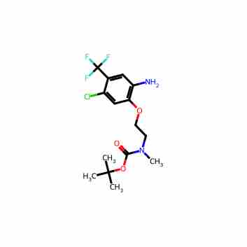 CN(CCOc1cc(Cl)c(C(F)(F)F)cc1N)C(=O)OC(C)(C)C